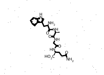 C[C@H](NC(=O)[C@@H](N)Cc1c[nH]c2ccccc12)C(=O)NCC(=O)N[C@@H](CCC(N)=O)C(=O)O